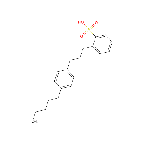 CCCCCc1ccc(CCCc2ccccc2S(=O)(=O)O)cc1